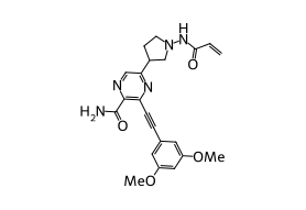 C=CC(=O)NN1CCC(c2cnc(C(N)=O)c(C#Cc3cc(OC)cc(OC)c3)n2)C1